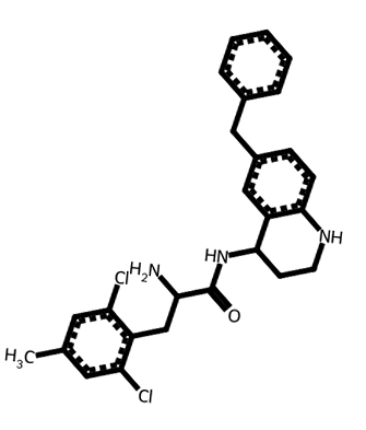 Cc1cc(Cl)c(CC(N)C(=O)NC2CCNc3ccc(Cc4ccccc4)cc32)c(Cl)c1